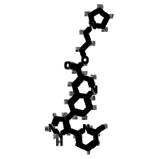 Cc1cccc(-c2[nH]ncc2-c2ccc3ncc(C(=O)OCCCN4CCCC4)cc3c2)n1